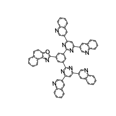 c1ccc2ncc(-c3cc(-c4cnc5ccccc5c4)nc(-c4cc(-c5nc(-c6cnc7ccccc7c6)cc(-c6cnc7ccccc7c6)n5)cc(-c5nc6c(ccc7ccccc76)o5)c4)n3)cc2c1